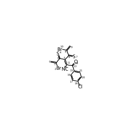 C=C(Br)C(=S)C(C(=S)C(=C)Br)=C(C#N)C(=O)c1ccc(Cl)cc1